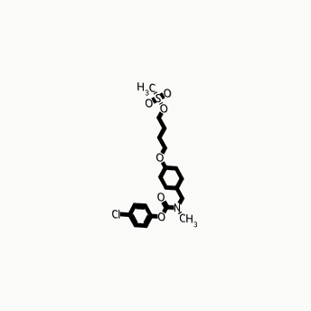 CN(CC1CCC(OCCCCOS(C)(=O)=O)CC1)C(=O)Oc1ccc(Cl)cc1